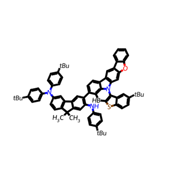 CC(C)(C)c1ccc(Nc2cc3c(cc2-c2ccc4c5cc6c(cc5n5c4c2Bc2sc4ccc(C(C)(C)C)cc4c2-5)oc2ccccc26)-c2cc(N(c4ccc(C(C)(C)C)cc4)c4ccc(C(C)(C)C)cc4)ccc2C3(C)C)cc1